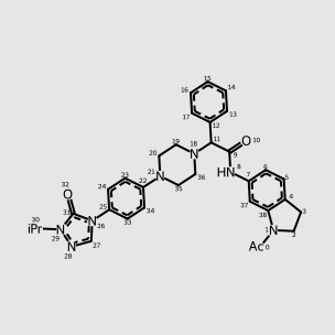 CC(=O)N1CCc2ccc(NC(=O)C(c3ccccc3)N3CCN(c4ccc(-n5cnn(C(C)C)c5=O)cc4)CC3)cc21